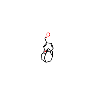 O=Cc1ccc2c(c1)C1CC3CC(CC2C3)C1